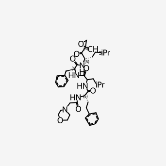 CC(C)CC[C@H](NC(=O)[C@H](Cc1ccccc1)NC(=O)C(CC(C)C)NC(=O)[C@H](CCc1ccccc1)NC(=O)CN1CCOCC1)C(=O)[C@@]1(C)CO1